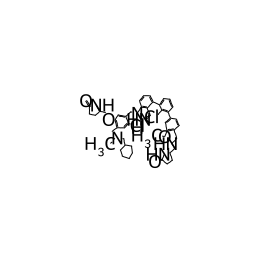 COc1cc(-c2cccc(-c3cccc(NCc4cc(OCC5CCC(=O)N5)c(CN(C)CC5CCCCC5)cc4Cl)c3C=N)c2Cl)ccc1CNCC1CCC(=O)N1